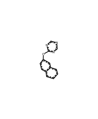 [c]1ncnc(Oc2ccc3ccccc3c2)n1